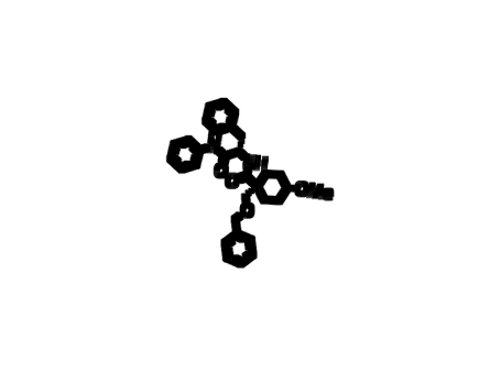 CO[C@H]1CC[C@@](COCc2ccccc2)(C(=O)N[C@@H](Cc2ccccc2)C(=O)Nc2ccccc2)CC1